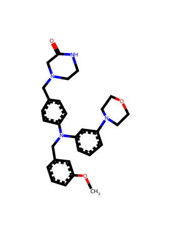 COc1cccc(CN(c2ccc(CN3CCNC(=O)C3)cc2)c2cccc(N3CCOCC3)c2)c1